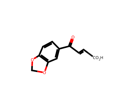 O=C(O)C=CC(=O)c1ccc2c(c1)OCO2